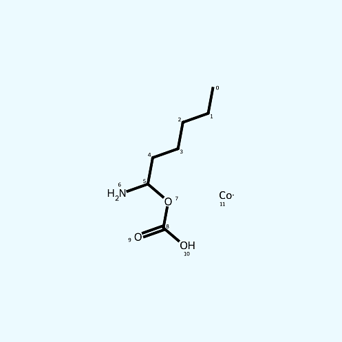 CCCCCC(N)OC(=O)O.[Co]